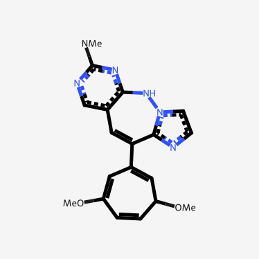 CNc1ncc2c(n1)Nn1ccnc1C(C1=CC(OC)C=CC(OC)=C1)=C2